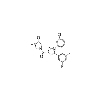 Cc1cc(F)cc(-c2cc(C(=O)N3CNC(=O)C3)nn2-c2cccc(Cl)c2)c1